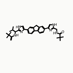 C=C(NC(c1nc(-c2ccc3c(c2)Cc2cc(-c4c[nH]c(CNC(=O)C(C)(C)C)n4)ccc2-3)c[nH]1)C(C)C)C(C)(C)C